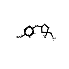 CCCCCCCCc1ccc(OC2CCC(N)(CO)C2)cc1